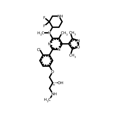 CNC[C@@H](O)COc1ccc(Cl)c(-c2nc(-c3c(C)noc3C)c(C)c(N(C)C3CCNCC3(F)F)n2)c1